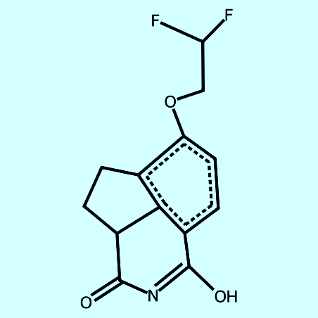 O=C1N=C(O)c2ccc(OCC(F)F)c3c2C1CC3